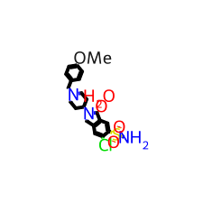 COc1ccc(CN2CCC(N3Cc4cc(Cl)c(S(N)(=O)=O)cc4C3=O)CC2)cc1.O